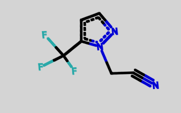 N#CCn1nccc1C(F)(F)F